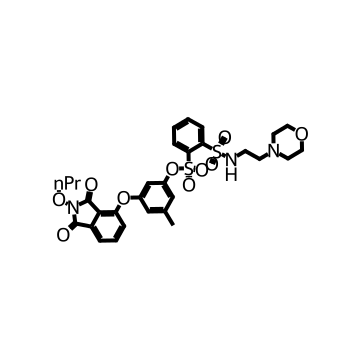 CCCON1C(=O)c2cccc(Oc3cc(C)cc(OS(=O)(=O)c4ccccc4S(=O)(=O)NCCN4CCOCC4)c3)c2C1=O